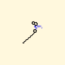 CCCCCCCCCCCCc1ccc(/N=N/c2c(N)ccc3ccccc23)cc1